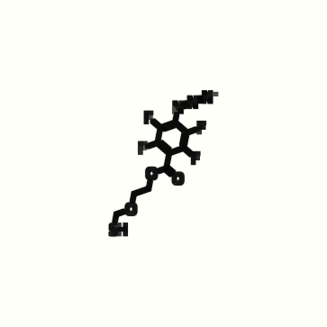 [N-]=[N+]=Nc1c(F)c(F)c(C(=O)OCCOCS)c(F)c1F